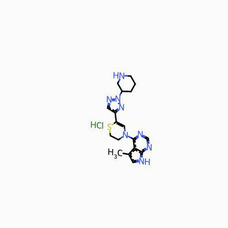 Cc1c[nH]c2ncnc(N3C=C(c4cnn(C5CCCNC5)n4)SCC3)c12.Cl